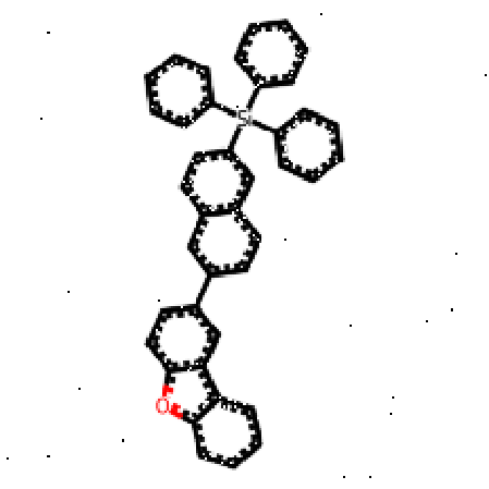 c1ccc([Si](c2ccccc2)(c2ccccc2)c2ccc3cc(-c4ccc5oc6ccccc6c5c4)ccc3c2)cc1